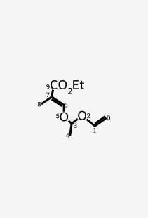 C=COC(C)OC=C(C)C(=O)OCC